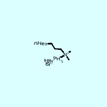 Br.CCCCCCCCC[N+](C)(C)C.P.[Br-]